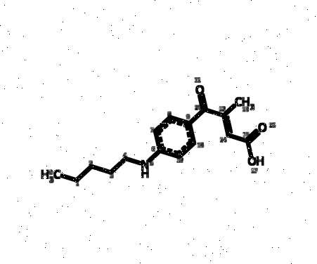 CCCCCNc1ccc(C(=O)C(C)=CC(=O)O)cc1